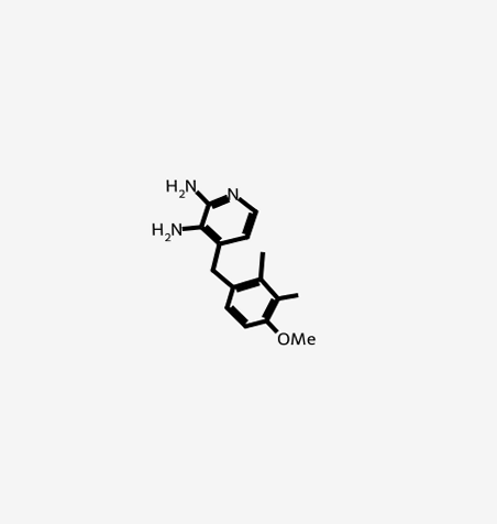 COc1ccc(Cc2ccnc(N)c2N)c(C)c1C